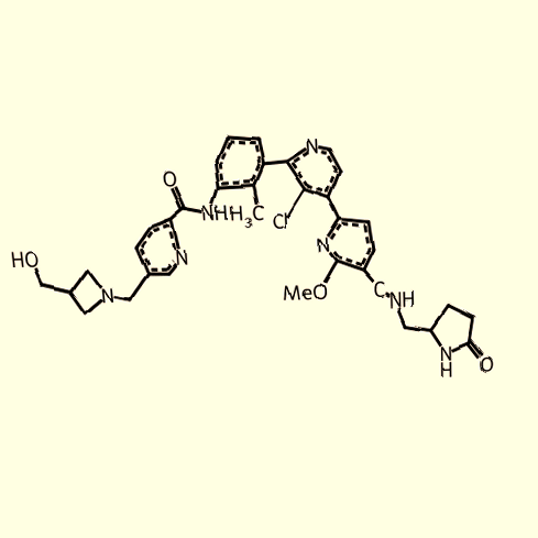 COc1nc(-c2ccnc(-c3cccc(NC(=O)c4ccc(CN5CC(CO)C5)cn4)c3C)c2Cl)ccc1CNCC1CCC(=O)N1